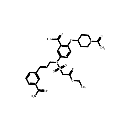 CCOC(=O)CS(=O)(=O)N(C/C=C/c1cccc(C(=N)N)c1)c1ccc(OC2CCN(C(C)=N)CC2)c(C(N)=O)c1